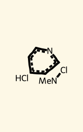 CNCl.Cl.c1ccncc1